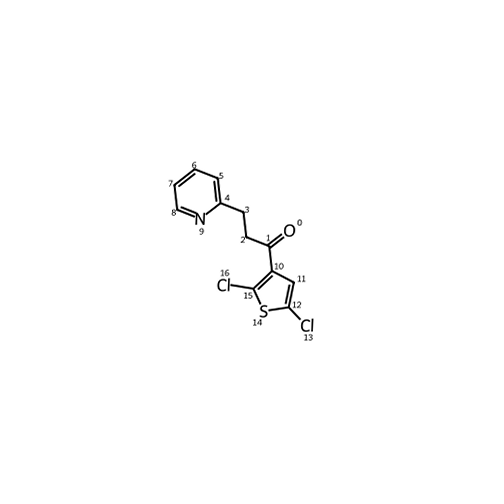 O=C(CCc1ccccn1)c1cc(Cl)sc1Cl